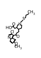 CCCCSCCN1CCC(CCC(=O)c2c(Cl)cnc3ccc(OC)cc23)C(CC(=O)O)C1